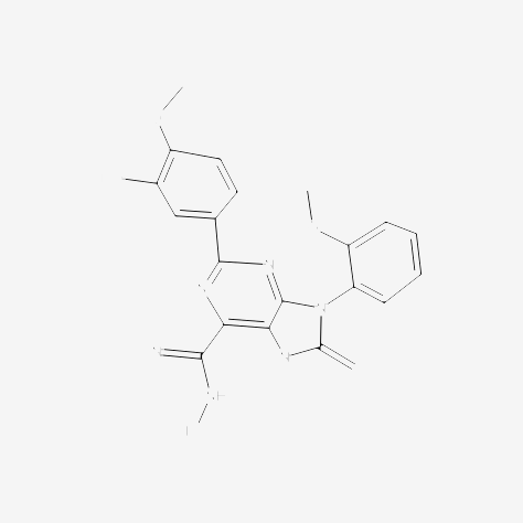 COc1ccc(-c2nc(C(=N)NO)c3[nH]c(=O)n(-c4ccccc4OC)c3n2)cc1O